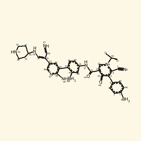 Bc1ccc(-c2c(C#N)n(C(C)C)cc(C(=O)Nc3ccc(-c4cc(/C(C=N)=C/NC5CCNCC5)cnc4N)c(B)c3)c2=O)cc1